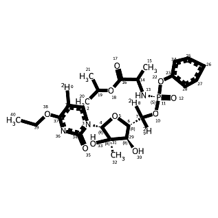 [2H]c1cn([C@@H]2O[C@H](C([2H])([2H])O[P@@](=O)(NC(C)C(=O)OC(C)C)Oc3ccccc3)[C@@H](O)[C@@]2(C)O)c(=O)nc1OCC